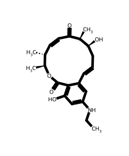 CCNc1cc(O)c2c(c1)/C=C/C[C@H](O)[C@H](C)C(=O)/C=C\[C@@H](C)[C@H](C)OC2=O